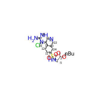 CCCCOC(=O)[C@H](C)NS(=O)(=O)c1ccc2c(N(Cl)C(=N)N)cncc2c1